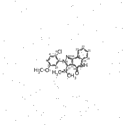 COc1ccc(Cl)c(-n2nc3c(c2N(C)C)c(=O)[nH]c2ccccc23)c1